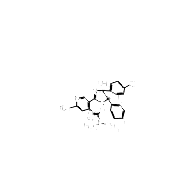 CCOc1cc(C(C)(C)C)ncc1C1=N[C@@](C)(c2ccc(Cl)cc2)[C@@](C)(c2ccc(Cl)cc2)N1OC(=O)N(C)C